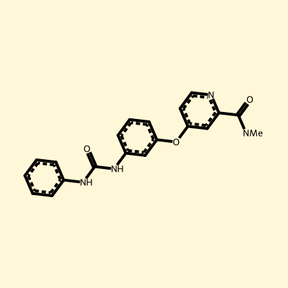 CNC(=O)c1cc(Oc2cccc(NC(=O)Nc3ccccc3)c2)ccn1